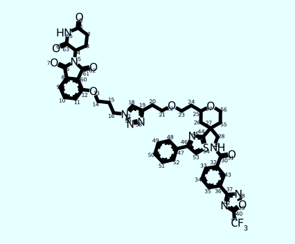 O=C1CCC(N2C(=O)c3cccc(OCCCn4cc(CCOCCC5CC(CNC(=O)c6cccc(-c7noc(C(F)(F)F)n7)c6)(c6nc(-c7ccccc7)cs6)CCO5)nn4)c3C2=O)C(=O)N1